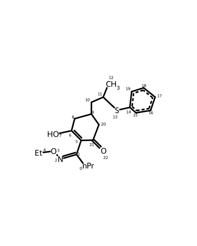 CCC/C(=N/OCC)C1=C(O)CC(CC(C)Sc2ccccc2)CC1=O